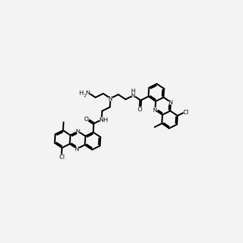 Cc1ccc(Cl)c2nc3cccc(C(=O)NCCN(CCN)CCNC(=O)c4cccc5nc6c(Cl)ccc(C)c6nc45)c3nc12